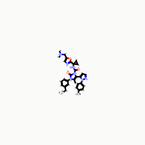 Cc1c(-c2ccnn2-c2ccc(C#N)cc2)n(C(=O)NC2(c3ncc(CN(C)C)o3)CC2)c(=O)n1-c1cccc(CC(F)(F)F)c1